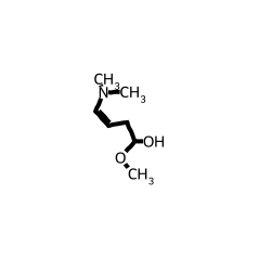 COC(O)C/C=C\N(C)C